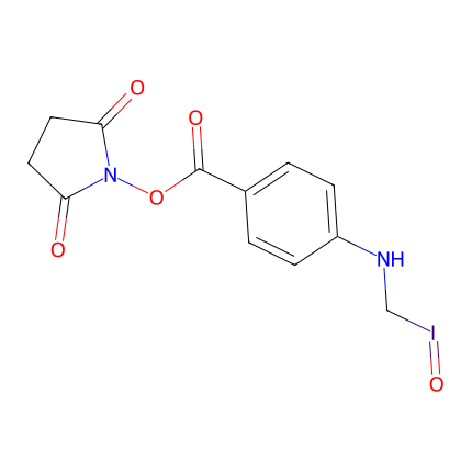 O=ICNc1ccc(C(=O)ON2C(=O)CCC2=O)cc1